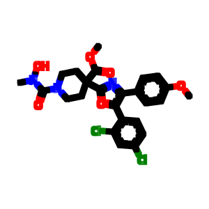 COC(=O)C1(c2nc(-c3ccc(OC)cc3)c(-c3ccc(Cl)cc3Cl)o2)CCN(C(=O)N(C)O)CC1